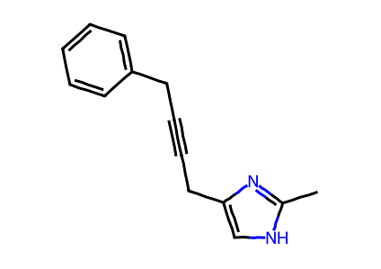 Cc1nc(CC#CCc2ccccc2)c[nH]1